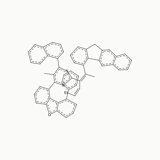 CC/C=C\C(=C(/C)c1cccc2c1-c1cc3ccccc3cc1C2)c1nc(-c2cccc3ccccc23)c(C)c(-c2cccc3oc4cccc(-c5ccccc5)c4c23)n1